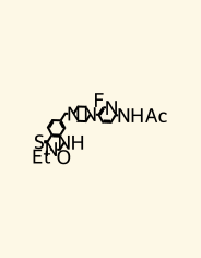 CCn1c(=O)[nH]c2cc(CN3CCN(c4ccc(NC(C)=O)nc4F)CC3)ccc2c1=S